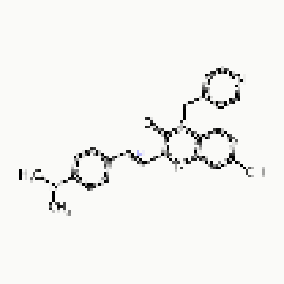 CN(C)c1ccc(/C=C/c2nc3cc(O)ccc3n(Cc3ccncc3)c2=O)cc1